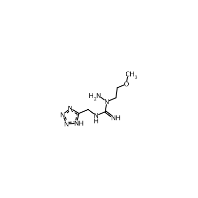 COCCN(N)C(=N)NCc1nnn[nH]1